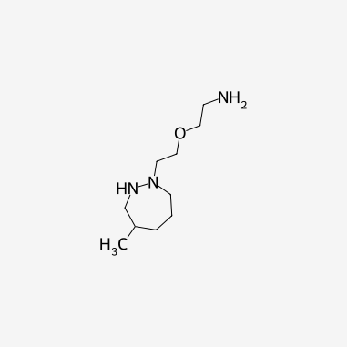 CC1CCCN(CCOCCN)NC1